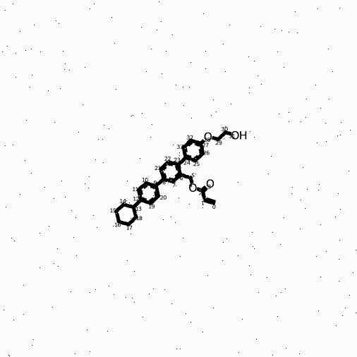 C=CC(=O)OCc1cc(-c2ccc(C3CCCCC3)cc2)ccc1-c1ccc(OCCO)cc1